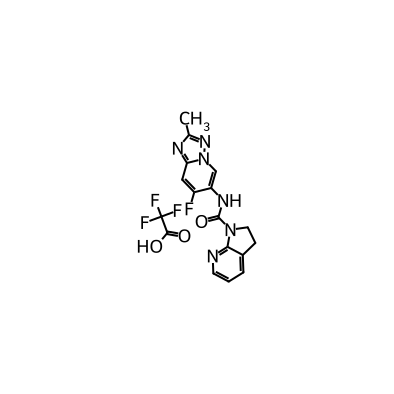 Cc1nc2cc(F)c(NC(=O)N3CCc4cccnc43)cn2n1.O=C(O)C(F)(F)F